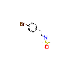 CS(C)(=O)=NCCc1ccc(Br)cc1